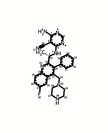 C[C@H](Nc1ncnc(N)c1C#N)c1nc2ccc(F)cc2c(CN2CCNCC2)c1-c1ccccc1